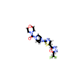 O=C(N1CCOCC1)N1CC2CC1CN2c1ncc(-c2nnc(C(F)F)o2)s1